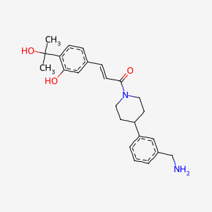 CC(C)(O)c1ccc(/C=C/C(=O)N2CCC(c3cccc(CN)c3)CC2)cc1O